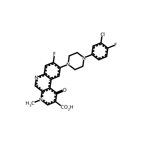 Cn1cc(C(=O)O)c(=O)c2c3cc(N4CCN(c5ccc(F)c(Cl)c5)CC4)c(F)cc3ncc21